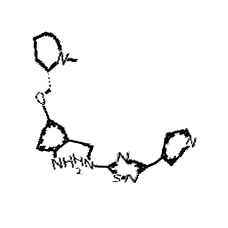 CN1CCC[C@H]1COc1ccc(N)c(CNc2nc(-c3ccncc3)ns2)c1